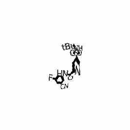 Cn1cc(S(=O)(=O)NC(C)(C)C)cc1C(=O)Nc1cc(F)cc(C#N)c1